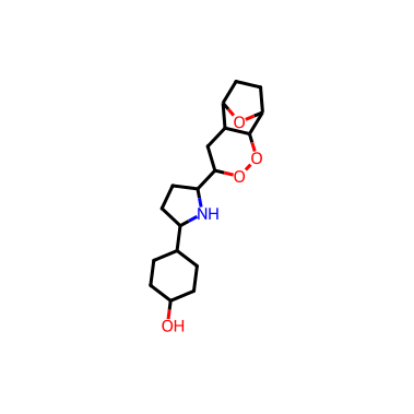 OC1CCC(C2CCC(C3CC4C5CCC(O5)C4OO3)N2)CC1